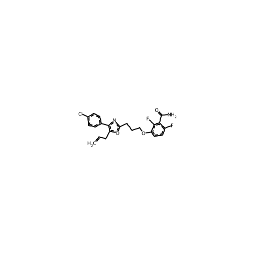 C=CCc1oc(CCCOc2ccc(F)c(C(N)=O)c2F)nc1-c1ccc(Cl)cc1